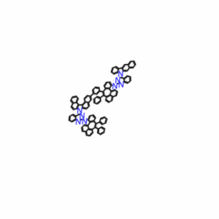 c1ccc(C2=C(c3cccc(-c4ccc5c(ccc6c5c5c7ccccc7ccc5n6-c5nc(-n6c7cccc8c7c7c9c(cccc9ccc76)C(c6ccccc6)=C8c6ccccc6)nc6ccccc56)c4)c3)c3cccc4c3c3c5c2cccc5ccc3n4-c2nc(-n3c4ccccc4c4cc5ccccc5cc43)c3ccccc3n2)cc1